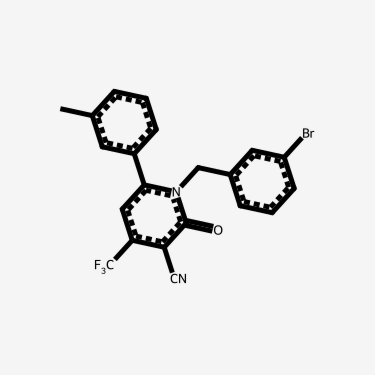 Cc1cccc(-c2cc(C(F)(F)F)c(C#N)c(=O)n2Cc2cccc(Br)c2)c1